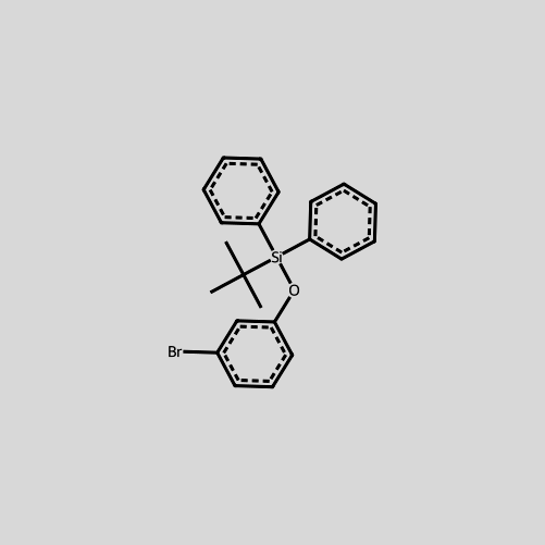 CC(C)(C)[Si](Oc1cccc(Br)c1)(c1ccccc1)c1ccccc1